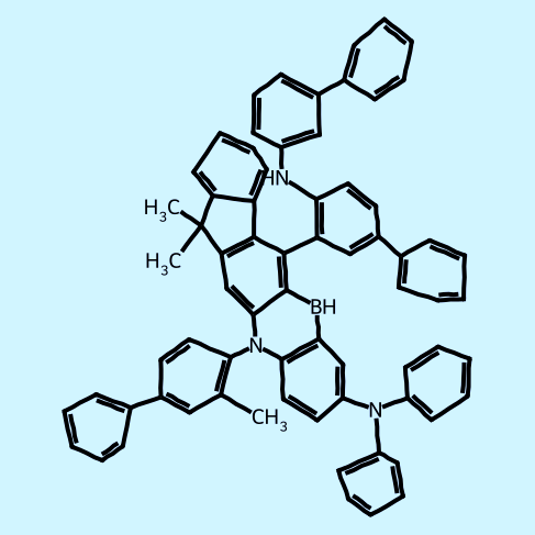 Cc1cc(-c2ccccc2)ccc1N1c2ccc(N(c3ccccc3)c3ccccc3)cc2Bc2c1cc1c(c2-c2cc(-c3ccccc3)ccc2Nc2cccc(-c3ccccc3)c2)-c2ccccc2C1(C)C